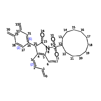 C=C/C=C\C1=C(C=C)N(S(=O)(=O)C2CCCCCCCCCC2)C(=O)C1C(/C=C\C=C)=C/C=C